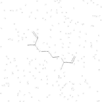 C=CC(C)OCCOC(C)C=C